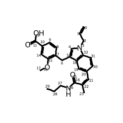 C=CCn1cc(Cc2ccc(C(=O)O)cc2OC)c2cc(C=C(C)C(=O)NCCC)ccc21